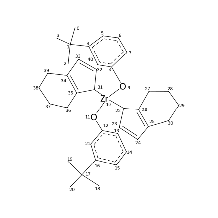 CC(C)(C)c1cccc([O][Zr]([O]c2cccc(C(C)(C)C)c2)([CH]2C=CC3=C2CCCC3)[CH]2C=CC3=C2CCCC3)c1